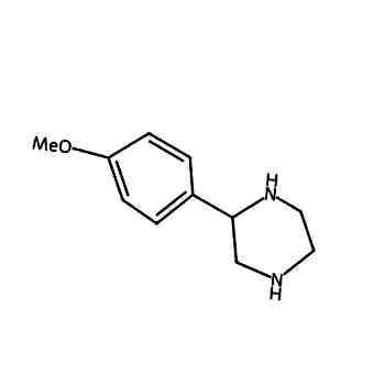 COc1ccc(C2CNCCN2)cc1